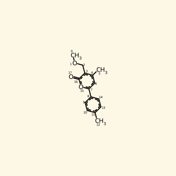 COCc1c(C)cc(-c2ccc(C)cc2)oc1=O